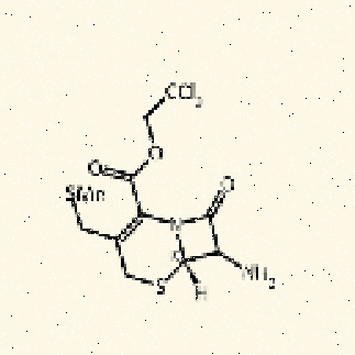 CSCC1=C(C(=O)OCC(Cl)(Cl)Cl)N2C(=O)C(N)[C@@H]2SC1